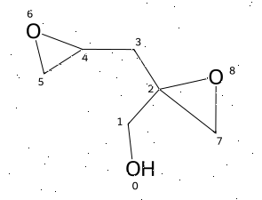 OCC1(CC2CO2)CO1